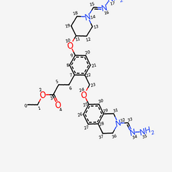 CCOC(=O)CCc1cc(OC2CCN(C=NN)CC2)ccc1COc1ccc2c(c1)CN(C=NN)CC2